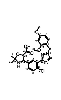 COc1ccc(Cn2cnc(-c3cc(C4NC(C)(C)OC4C(=O)O)ccc3Cl)n2)c(OC)c1